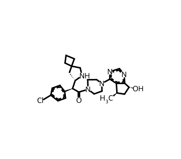 C[C@@H]1C[C@@H](O)c2ncnc(N3CCN(C(=O)[C@@H](c4ccc(Cl)cc4)[C@@H]4CC5(CCC5)CN4)CC3)c21